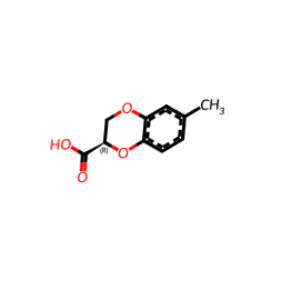 Cc1ccc2c(c1)OC[C@H](C(=O)O)O2